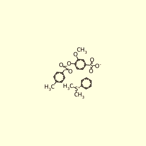 COc1cc(S(=O)(=O)[O-])ccc1OS(=O)(=O)c1ccc(C)cc1.C[S+](C)c1ccccc1